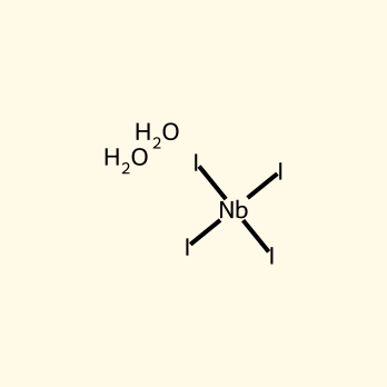 O.O.[I][Nb]([I])([I])[I]